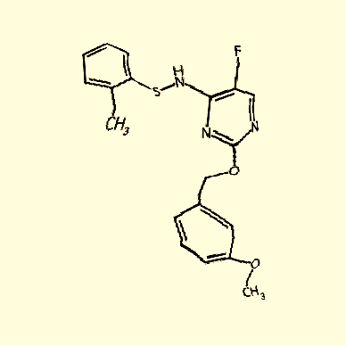 COc1cccc(COc2ncc(F)c(NSc3ccccc3C)n2)c1